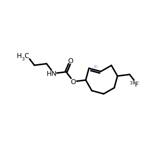 CCCNC(=O)OC1/C=C/CC(C[18F])CCC1